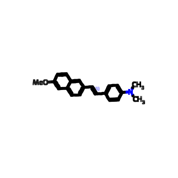 COc1ccc2cc(/C=C/c3ccc(N(C)C)cc3)ccc2c1